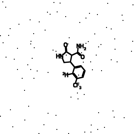 [2H]c1c(C2CNC(=O)C2C(N)=O)cccc1C(F)(F)F